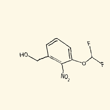 O=[N+]([O-])c1c(CO)cccc1OC(F)F